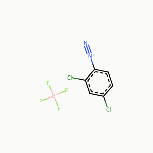 F[B-](F)(F)F.N#[N+]c1ccc(Cl)cc1Cl